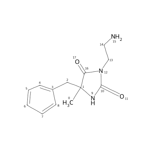 CC1(Cc2ccccc2)NC(=O)N(CCN)C1=O